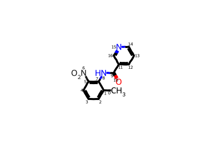 Cc1cccc([N+](=O)[O-])c1NC(=O)c1cccnc1